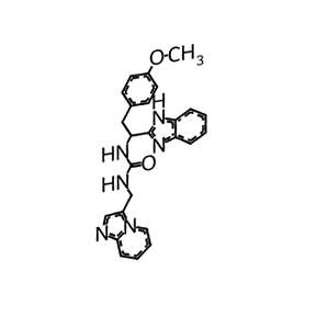 COc1ccc(CC(NC(=O)NCc2cnc3ccccn23)c2nc3ccccc3[nH]2)cc1